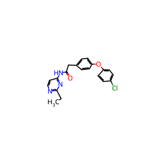 CCc1nccc(NC(=O)Cc2ccc(Oc3ccc(Cl)cc3)cc2)n1